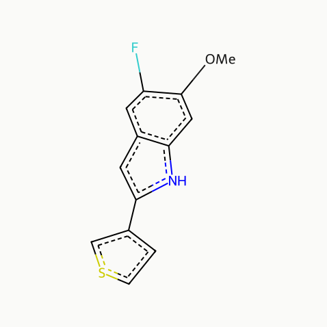 COc1cc2[nH]c(-c3ccsc3)cc2cc1F